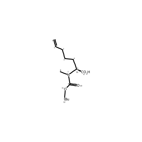 C=CCCC[C@@H](C(=O)O)N(C)C(=O)OC(C)(C)C